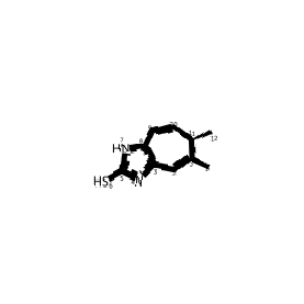 CC1=Cc2nc(S)[nH]c2C=C[C@H]1C